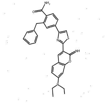 CCN(CC)c1ccc2cc(-c3nc(-c4ccc(C(N)=O)c(Cc5ccccc5)c4)cs3)c(=N)oc2c1